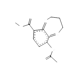 COC(=O)c1ccc(NC(C)=O)c2c1=NCCCN=2